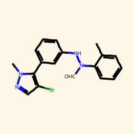 Cc1ccccc1N(C=O)Nc1cccc(-c2c(Br)cnn2C)c1